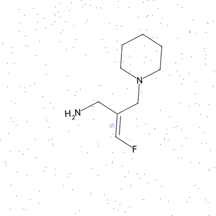 NC/C(=C/F)CN1CCCCC1